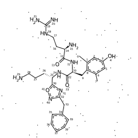 Cc1cc(O)cc(C)c1C[C@H](NC(=O)[C@H](N)CCNC(=N)N)C(=O)N[C@@H](CCCN)c1nc(Cc2ccccc2)no1